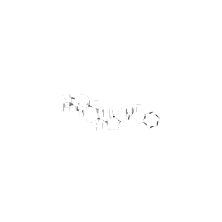 C[C@]12CCC(=O)N[C@@H]1CC[C@@H]1[C@@H]2CC[C@]2(C)[C@@H](C(=O)Oc3ccccc3F)CC[C@@H]12